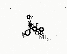 CN1CCC[C@H]1COc1nc(N2CCCC(F)(F)CC2)c2cc(Cl)c(-c3cccc4sc(N)nc34)c(F)c2n1